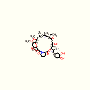 CC[C@@H]1/C=C(\C)C[C@H](C)C[C@H](OC)[C@H]2O[C@@](O)(C(=O)C(=O)N3CCCCC3C(=O)O[C@H](/C(C)=C/[C@@H]3CCC(O)[C@H](O)C3)[C@H](C)[C@@H](O)CC1=O)[C@H](C)C[C@@H]2OC